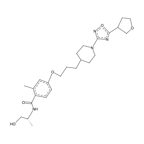 Cc1cc(OCCCC2CCN(c3noc(C4CCOC4)n3)CC2)ccc1C(=O)N[C@H](C)CO